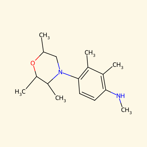 CNc1ccc(N2CC(C)OC(C)C2C)c(C)c1C